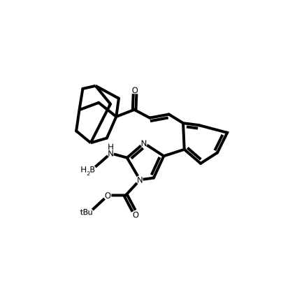 BNc1nc(-c2ccccc2/C=C/C(=O)C23CC4CC(CC(C4)C2)C3)cn1C(=O)OC(C)(C)C